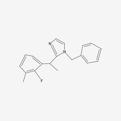 Cc1cccc(C(C)c2nccn2Cc2ccccc2)c1F